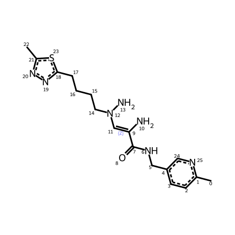 Cc1ccc(CNC(=O)/C(N)=C/N(N)CCCCc2nnc(C)s2)cn1